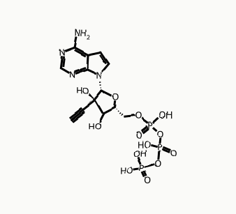 C#C[C@@]1(O)C(O)[C@@H](COP(=O)(O)OP(=O)(O)OP(=O)(O)O)O[C@H]1n1ccc2c(N)ncnc21